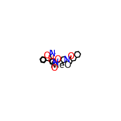 COCC(CC1CCCCC1)C(=O)N1CC[C@](O)(Cn2cc(C(=O)N(C)C)c(-c3ccccc3)cc2=O)C(C)(C)C1